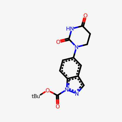 CC(C)(C)OC(=O)n1ncc2cc(N3CCC(=O)NC3=O)ccc21